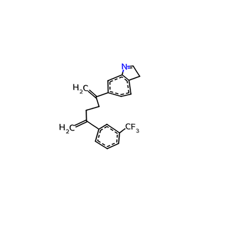 C=C(CCC(=C)c1ccc2c(c1)N=CC2)c1cccc(C(F)(F)F)c1